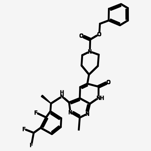 Cc1nc(N[C@H](C)c2cccc(C(F)F)c2F)c2cc(C3CCN(C(=O)OCc4ccccc4)CC3)c(=O)[nH]c2n1